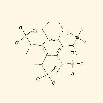 CCc1c(CC)c(C(C)[Si](Cl)(Cl)Cl)c(C(C)[Si](Cl)(Cl)Cl)c(C(C)[Si](Cl)(Cl)Cl)c1C(C)[Si](Cl)(Cl)Cl